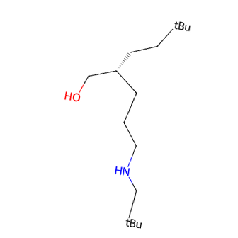 CC(C)(C)CC[C@@H](CO)CCCNCC(C)(C)C